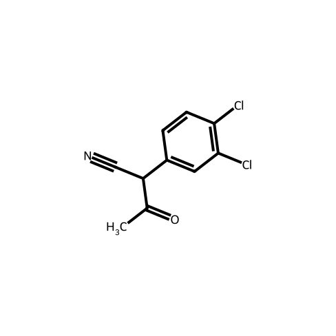 CC(=O)C(C#N)c1ccc(Cl)c(Cl)c1